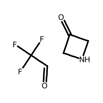 O=C1CNC1.O=CC(F)(F)F